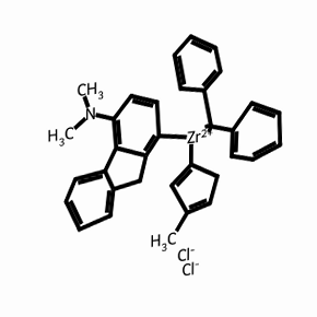 CC1=CC[C]([Zr+2](=[C](c2ccccc2)c2ccccc2)[c]2ccc(N(C)C)c3c2Cc2ccccc2-3)=C1.[Cl-].[Cl-]